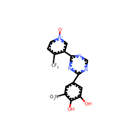 O=[N+]([O-])c1cc(-c2ncnc(-c3c[n+]([O-])ccc3C(F)(F)F)n2)cc(O)c1O